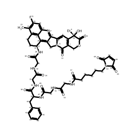 CC[C@@]1(O)C(=O)OCc2c1cc1n(c2=O)Cc2c-1nc1cc(F)c(C)c3c1c2[C@@H](NC(=O)CNC(=O)CNC(=O)C(Cc1ccccc1)NC(=O)CNC(=O)CNC(=O)CCCCCN1C(=O)C=CC1=O)CC3